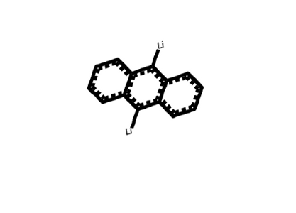 [Li][c]1c2ccccc2[c]([Li])c2ccccc12